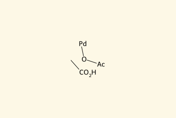 CC(=O)O.CC(=O)[O][Pd]